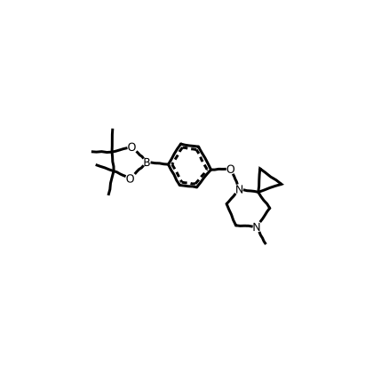 CN1CCN(Oc2ccc(B3OC(C)(C)C(C)(C)O3)cc2)C2(CC2)C1